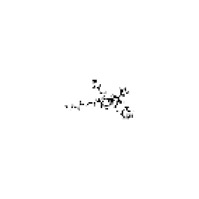 CCCCCCCCOC(=O)[C@H](CCCCN)NC(=O)[C@H](Cc1c[nH]cn1)NC(=O)CN